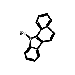 CC(C)n1c2ccccc2c2ccc3ccccc3c21